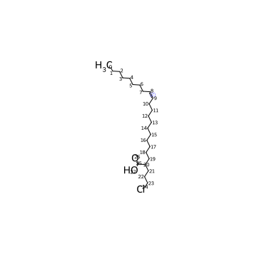 CCCCCCCC/C=C\CCCCCCCCCCC(CCCCl)C(=O)O